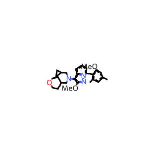 COc1cc(C)cc(C)c1-c1cccc2c(N(CC3CCOCC3)CC3CC3)c(OC)nn12